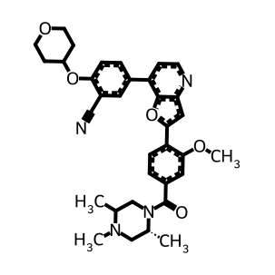 COc1cc(C(=O)N2CC(C)N(C)C[C@H]2C)ccc1-c1cc2nccc(-c3ccc(OC4CCOCC4)c(C#N)c3)c2o1